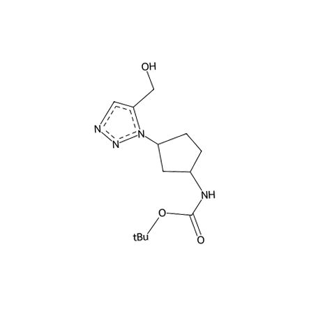 CC(C)(C)OC(=O)NC1CCC(n2nncc2CO)C1